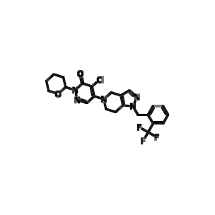 O=c1c(Cl)c(N2CCc3c(cnn3Cc3ccccc3C(F)(F)F)C2)cnn1C1CCCCO1